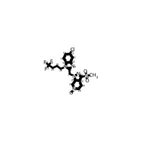 CS(=O)(=O)c1nn(Cc2nc3cc(Cl)ccc3n2CCCC(F)(F)F)c2c[n+]([O-])ccc12